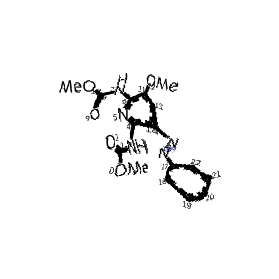 COC(=O)Nc1nc(NC(=O)OC)c(OC)cc1/N=N/c1ccccc1